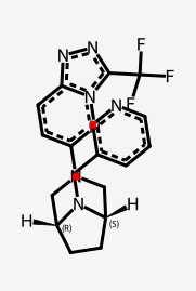 FC(F)(F)c1nnc2ccc(N3C[C@H]4CC[C@@H](C3)N4Cc3cccnc3)nn12